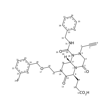 C#CCN1CC(=O)N2[C@@H](CCC(=O)O)C(=O)N(CCOCc3cccc(F)c3)C[C@@H]2N1C(=O)NCc1ccccc1